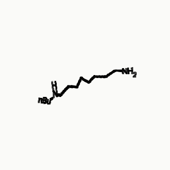 CCCCNCCCCCCCCN